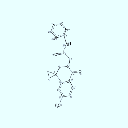 O=C(CN1CC2(CC2)c2cc(C(F)(F)F)ccc2C1=O)Nc1ncccn1